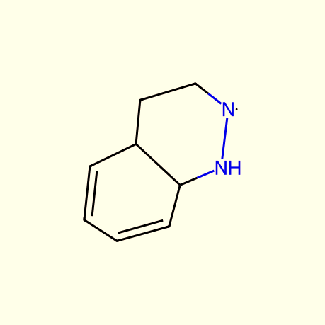 C1=CC2CC[N]NC2C=C1